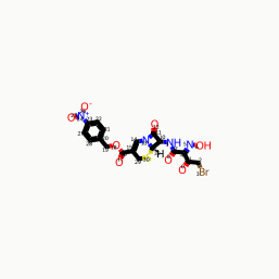 O=C(CBr)C(=NO)C(=O)NC1C(=O)N2C=C(C(=O)OCc3ccc([N+](=O)[O-])cc3)CS[C@H]12